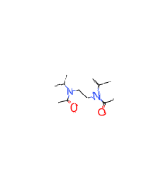 CC(=O)N(CCN(C(C)=O)C(C)C)C(C)C